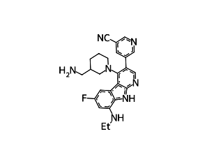 CCNc1cc(F)cc2c1[nH]c1ncc(-c3cncc(C#N)c3)c(N3CCCC(CN)C3)c12